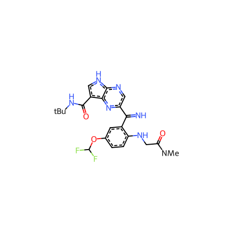 CNC(=O)CNc1ccc(OC(F)F)cc1C(=N)c1cnc2[nH]cc(C(=O)NC(C)(C)C)c2n1